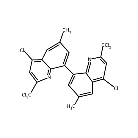 Cc1cc(-c2cc(C)cc3c(Cl)cc(C(Cl)(Cl)Cl)nc23)c2nc(C(Cl)(Cl)Cl)cc(Cl)c2c1